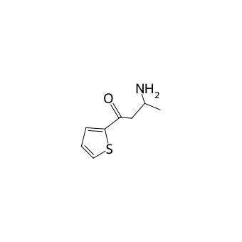 CC(N)CC(=O)c1cccs1